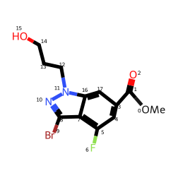 COC(=O)c1cc(F)c2c(Br)nn(CCCO)c2c1